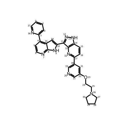 c1ccc(-c2ccnc3[nH]c(-c4n[nH]c5ccc(-c6cncc(OCCN7CCCC7)c6)nc45)cc23)nc1